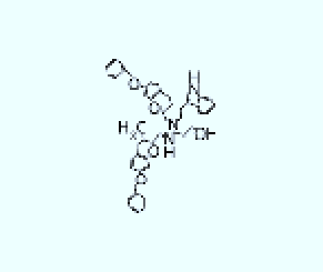 CC1Cc2ccc(OCc3ccccc3)cc2OC1CNC(CCO)N(CCc1c[nH]c2ccccc12)CC1CCc2ccc(OCc3ccccc3)cc2O1